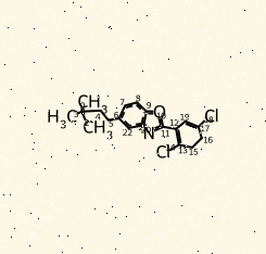 CC(C)(C)CCc1ccc2oc(C3=C(Cl)CCC(Cl)=C3)nc2c1